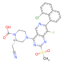 CS(=O)(=O)c1nc(N2CCN(C(=O)O)[C@@H](CC#N)C2)c2cnc(-c3cccc4cccc(Cl)c34)c(F)c2n1